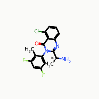 Cc1c(F)cc(F)cc1-n1c([C@H](C)N)nc2cccc(Cl)c2c1=O